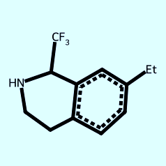 CCc1ccc2c(c1)C(C(F)(F)F)NCC2